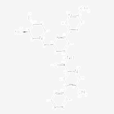 Cc1ccc(-c2cc(CN3CC[C@@H](F)[C@H](O)C3)cc(NC(=O)c3cc(-c4ccccc4)c(C)cn3)c2)cn1